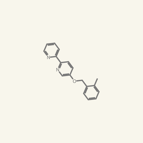 Cc1ccccc1COc1ccc(-c2ccccn2)nc1